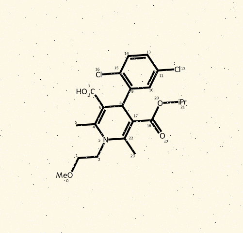 COCCN1C(C)=C(C(=O)O)C(c2cc(Cl)ccc2Cl)C(C(=O)OC(C)C)=C1C